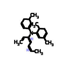 C=C/C(=C\C=C/C)N(C1=CC(C)CC=C1)C1=CC(C)=CCC1C